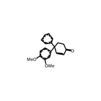 COc1ccc(C2(c3ccccc3)C=CC(=O)CC2)cc1OC